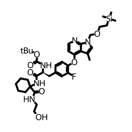 Cc1cn(COCC[Si](C)(C)C)c2nccc(Oc3ccc(C[C@H](NC(=O)OC(C)(C)C)C(=O)NC4(C(=O)NCCO)CCCCC4)cc3F)c12